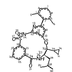 Cc1cccc(C)c1-c1cc2nc(n1)NS(=O)(=O)c1cccc(c1)C(=O)N[C@H](CC(C)C)C(C1CC1)O2